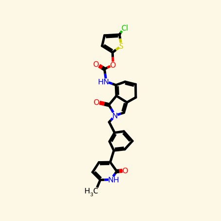 Cc1ccc(-c2cccc(CN3C=C4CC=CC(NC(=O)Oc5ccc(Cl)s5)=C4C3=O)c2)c(=O)[nH]1